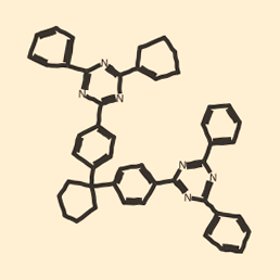 C1=C(c2nc(-c3ccccc3)nc(-c3ccc(C4(c5ccc(-c6nc(-c7ccccc7)nc(-c7ccccc7)n6)cc5)CCCCC4)cc3)n2)CCCC1